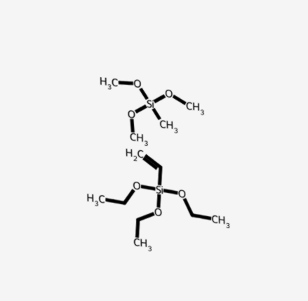 C=C[Si](OCC)(OCC)OCC.CO[Si](C)(OC)OC